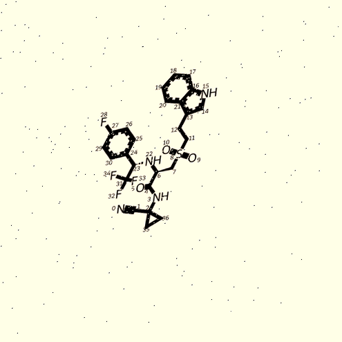 N#CC1(NC(=O)[C@H](CS(=O)(=O)CCc2c[nH]c3ccccc23)N[C@@H](c2ccc(F)cc2)C(F)(F)F)CC1